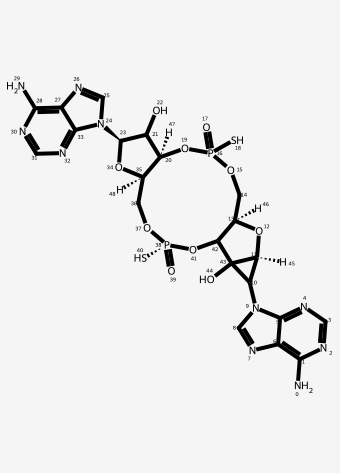 Nc1ncnc2c1ncn2C1[C@@H]2O[C@@H]3COP(=O)(S)O[C@@H]4C(O)[C@H](n5cnc6c(N)ncnc65)O[C@@H]4CO[P@@](=O)(S)OC3C12O